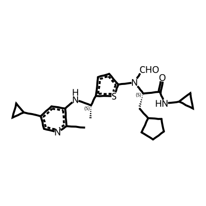 Cc1ncc(C2CC2)cc1N[C@@H](C)c1ccc(N(C=O)[C@@H](CC2CCCC2)C(=O)NC2CC2)s1